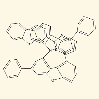 c1ccc(-c2cc(-n3c4ccccc4c4ccc5c6ccccc6sc5c43)c3c(c2)oc2cccc(-c4nc(-c5ccccc5)nc(-c5ccccc5)n4)c23)cc1